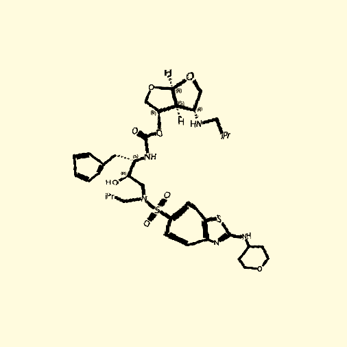 CC(C)CN[C@H]1CO[C@@H]2OC[C@H](OC(=O)N[C@@H](Cc3ccccc3)[C@H](O)CN(CC(C)C)S(=O)(=O)c3ccc4nc(NC5CCOCC5)sc4c3)[C@@H]21